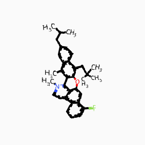 Cc1c2c(c(CC(C)(C)C)c3ccc(CC(C)C)cc13)Oc1cc3c(F)cccc3c3cc[n+](C)c-2c13